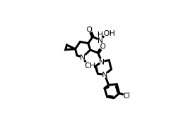 CN1CC2(CC2)CC(C(=O)NO)C1C(=O)N1CCN(c2cccc(Cl)c2)CC1